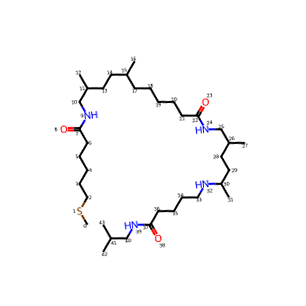 CSCCCCCC(=O)NCC(C)CCC(C)CCCCCC(=O)NCC(C)CCC(C)NCCCCC(=O)NCC(C)C